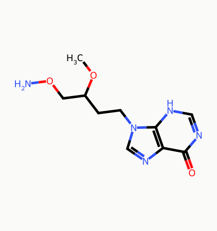 COC(CCn1cnc2c(=O)nc[nH]c21)CON